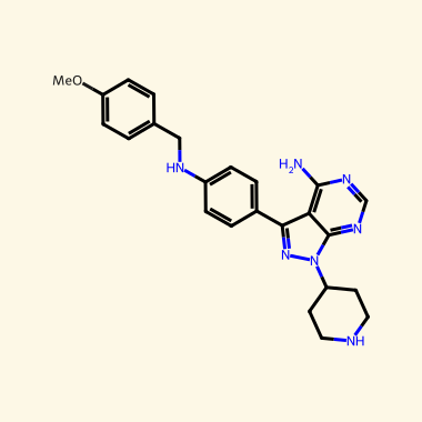 COc1ccc(CNc2ccc(-c3nn(C4CCNCC4)c4ncnc(N)c34)cc2)cc1